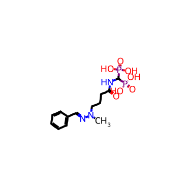 CN(CCCC(=O)NC(P(=O)(O)O)P(=O)(O)O)N=Cc1ccccc1